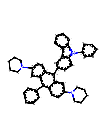 c1ccc(-c2c3ccc(N4CCCCC4)cc3c(-c3ccc4c(c3)c3ccccc3n4-c3ccccc3)c3ccc(N4CCCCC4)cc23)cc1